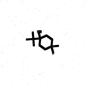 CC1(F)CCC(O)(C(C)(C)C)CC1